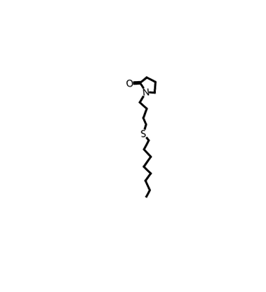 CCCCCCCCSCCCCN1CCCC1=O